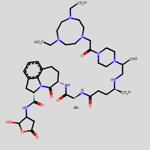 CC[C@H](C)[C@H](NC(=O)CC[C@@H](NCC(C=O)N1CCN(C(=O)CN2CCN(CC(=O)O)CCN(CC(=O)O)CC2)CC1)C(=O)O)C(=O)N[C@H]1CCc2cccc3c2N(C1=O)[C@H](C(=O)NC1CC(=O)OC1O)C3